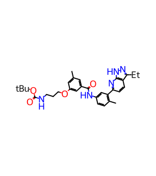 CCc1n[nH]c2nc(-c3cc(NC(=O)c4cc(C)cc(OCCCNC(=O)OC(C)(C)C)c4)ccc3C)ccc12